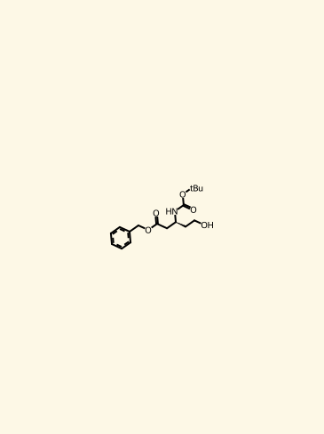 CC(C)(C)OC(=O)N[C@@H](CCO)CC(=O)OCc1ccccc1